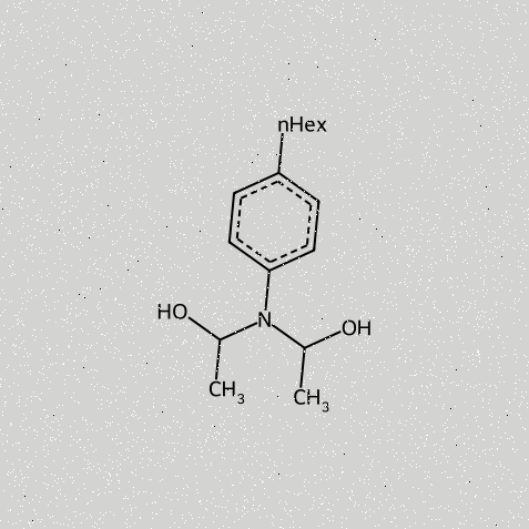 CCCCCCc1ccc(N(C(C)O)C(C)O)cc1